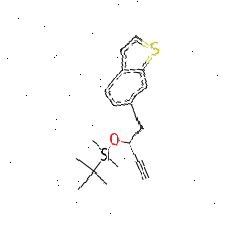 C#CC(Cc1ccc2ccsc2c1)O[Si](C)(C)C(C)(C)C